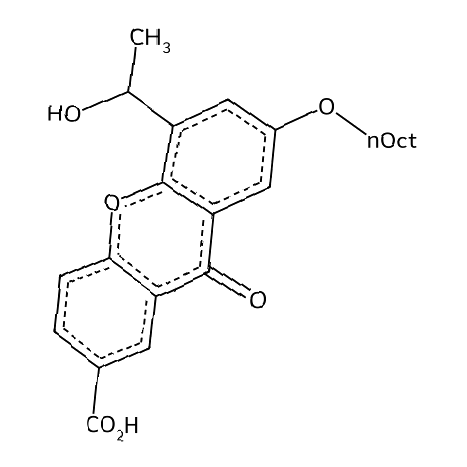 CCCCCCCCOc1cc(C(C)O)c2oc3ccc(C(=O)O)cc3c(=O)c2c1